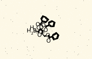 B[C@@H]1O[C@H](COC(=O)c2ccccc2)[C@@H](OC(=O)c2ccccc2)[C@@]1(C)OC(=O)c1ccccc1